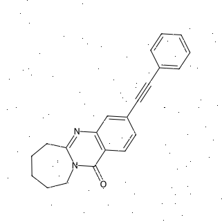 O=c1c2ccc(C#Cc3ccccc3)cc2nc2n1CCCCC2